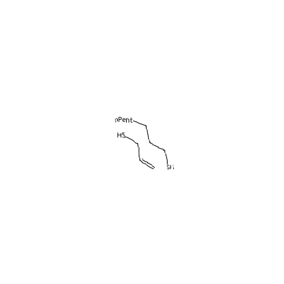 C=CCS.CCCCCCCCS